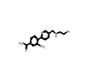 Cc1cc(C(N)=O)ccc1-c1ccc(CNCCC(C)C)cn1